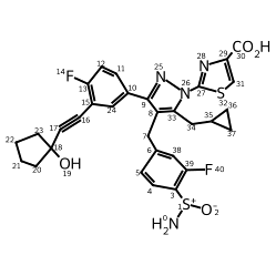 N[S+]([O-])c1ccc(Cc2c(-c3ccc(F)c(C#CC4(O)CCCC4)c3)nn(-c3nc(C(=O)O)cs3)c2CC2CC2)cc1F